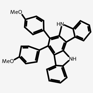 COc1ccc(-c2c(-c3ccc(OC)cc3)c3c4ccccc4[nH]c3c3c2[nH]c2ccccc23)cc1